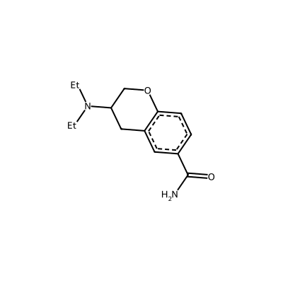 CCN(CC)C1COc2ccc(C(N)=O)cc2C1